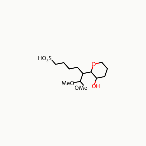 COC(OC)C(CCCCS(=O)(=O)O)C1OCCCC1O